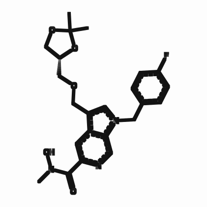 CN(O)C(=O)c1cc2c(COC[C@@H]3COC(C)(C)O3)cn(Cc3ccc(F)cc3)c2cn1